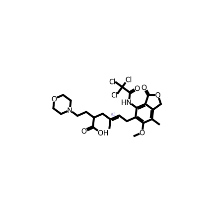 COc1c(C)c2c(c(NC(=O)C(Cl)(Cl)Cl)c1C/C=C(\C)CC(CCN1CCOCC1)C(=O)O)C(=O)OC2